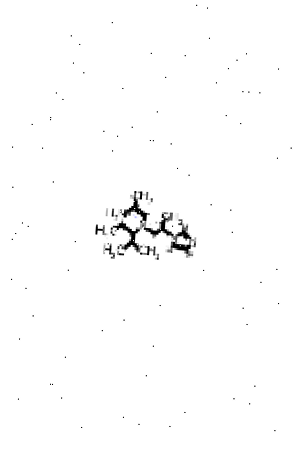 CCC(C(C)C)N(/C=C(/C)N)CC(C)n1ccnc1